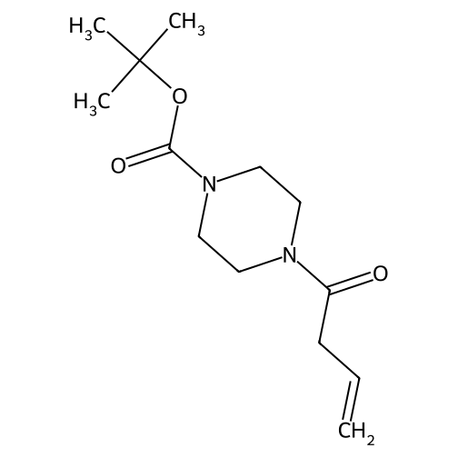 C=CCC(=O)N1CCN(C(=O)OC(C)(C)C)CC1